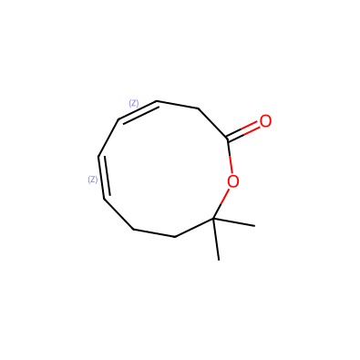 CC1(C)CC/C=C\C=C/CC(=O)O1